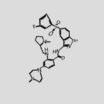 CN1CCN(c2ccc(C(=O)Nc3n[nH]c4ccc(S(=O)(=O)c5cccc(F)c5)cc34)c(NCC3CCCN3C)c2)CC1